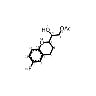 CC(=O)OC[C@H](O)C1CCc2cc(F)ccc2O1